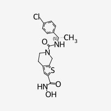 C[C@H](NC(=O)N1CCc2cc(C(=O)NO)sc2C1)c1ccc(Cl)cc1